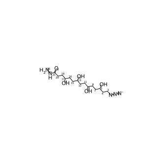 [N-]=[N+]=NCCC(O)CCC(O)CCC(O)CCC(O)CCC(=O)NN